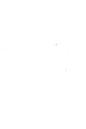 CCCP(C)O[PH](O)(O)OCC1OC(n2ccc(=O)[nH]c2=O)C(N=O)C1O